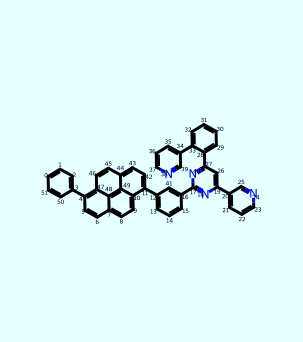 c1ccc(-c2ccc3ccc4c(-c5cccc(-c6nc(-c7cccnc7)cc(-c7ccccc7-c7cccnc7)n6)c5)ccc5ccc2c3c54)cc1